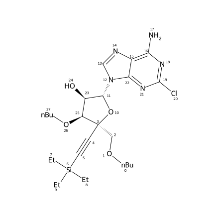 CCCCOC[C@@]1(C#C[Si](CC)(CC)CC)O[C@@H](n2cnc3c(N)nc(Cl)nc32)[C@H](O)[C@@H]1OCCCC